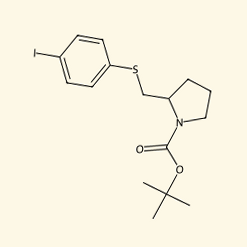 CC(C)(C)OC(=O)N1CCCC1CSc1ccc(I)cc1